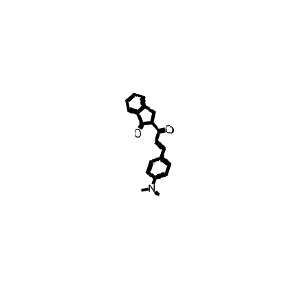 CN(C)c1ccc(C=CC(=O)C2Cc3ccccc3C2=O)cc1